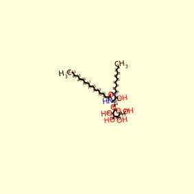 CCCCCCCCC/C=C/[C@@H](O)[C@H](CO[C@@H]1O[C@H](CO)[C@@H](O)C(O)C1O)NC(=O)CCCCCCCCCCCCCCC